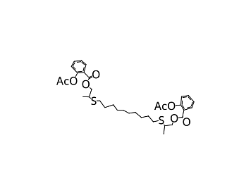 CC(=O)Oc1ccccc1C(=O)OCC(C)SCCCCCCCCCCSC(C)COC(=O)c1ccccc1OC(C)=O